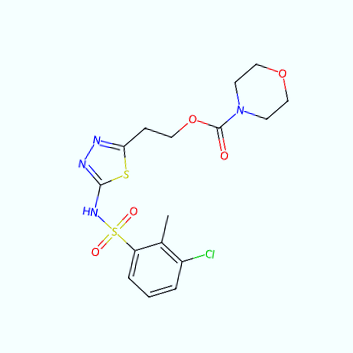 Cc1c(Cl)cccc1S(=O)(=O)Nc1nnc(CCOC(=O)N2CCOCC2)s1